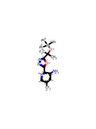 CC(C)[Si](OC(C)(c1nnc(-c2ncc(C(F)(F)F)cc2N)o1)C(F)(F)F)(C(C)C)C(C)C